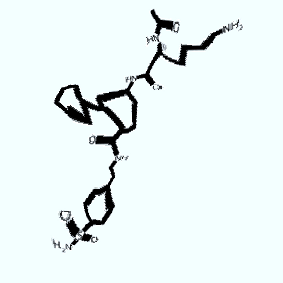 CC(=O)N[C@@H](CCCCN)C(=O)Nc1ccc(C(=O)NCCc2ccc(S(N)(=O)=O)cc2)c(-c2ccccc2)c1